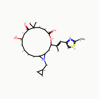 CSc1nc(/C=C(\C)C2CC3C(CCCCC(O)CC(=O)C(C)(C)CCC(=O)O2)N3CC2CC2)cs1